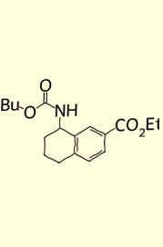 CCOC(=O)c1ccc2c(c1)C(NC(=O)OC(C)(C)C)CCC2